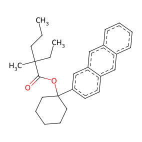 CCCC(C)(CC)C(=O)OC1(c2ccc3cc4ccccc4cc3c2)CCCCC1